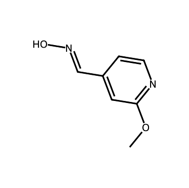 COc1cc(C=NO)ccn1